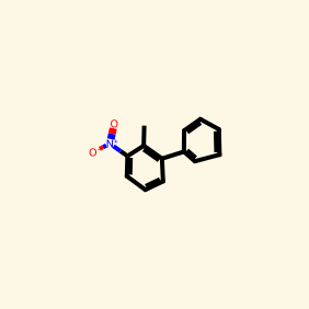 Cc1c(-c2ccccc2)cccc1[N+](=O)[O-]